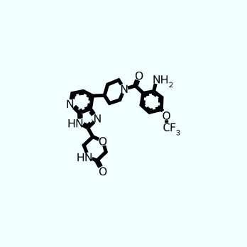 Nc1cc(OC(F)(F)F)ccc1C(=O)N1CCC(c2ccnc3[nH]c(C4CNC(=O)CO4)nc23)CC1